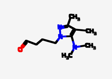 Cc1nn(CCCC=O)c(N(C)C)c1C